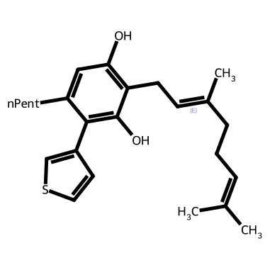 CCCCCc1cc(O)c(C/C=C(\C)CCC=C(C)C)c(O)c1-c1ccsc1